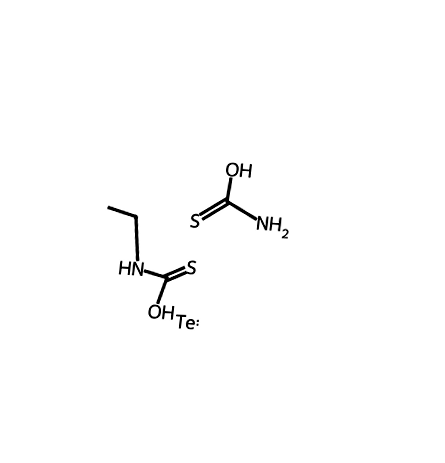 CCNC(O)=S.NC(O)=S.[Te]